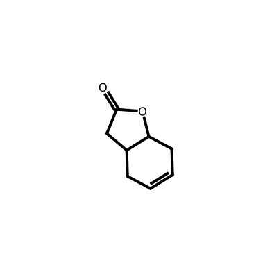 O=C1CC2CC=CCC2O1